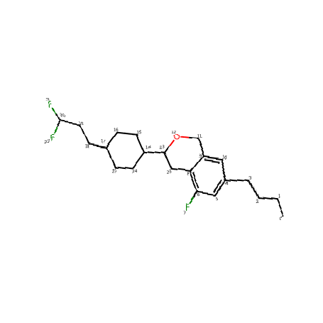 CCCCc1cc(F)c2c(c1)COC(C1CCC(CCC(F)F)CC1)C2